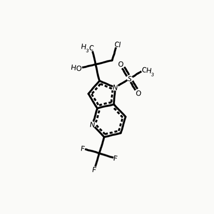 CC(O)(CCl)c1cc2nc(C(F)(F)F)ccc2n1S(C)(=O)=O